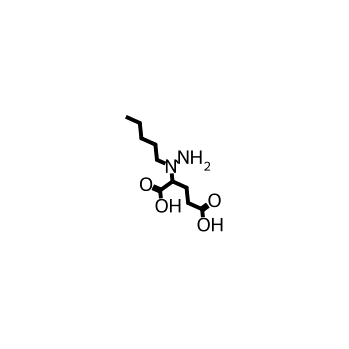 CCCCCN(N)C(CCC(=O)O)C(=O)O